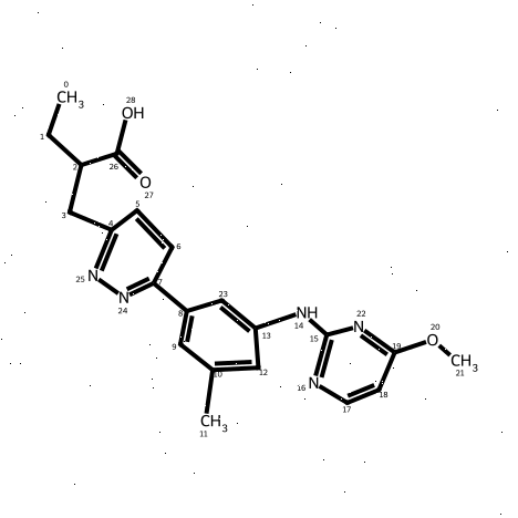 CCC(Cc1ccc(-c2cc(C)cc(Nc3nccc(OC)n3)c2)nn1)C(=O)O